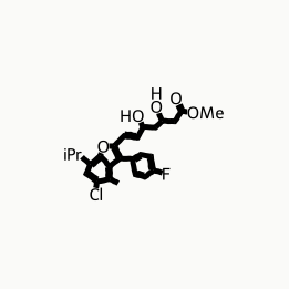 COC(=O)CC(O)CC(O)C=Cc1oc2c(C(C)C)cc(Cl)c(C)c2c1-c1ccc(F)cc1